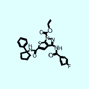 CCOC(=O)n1nc(NC(=O)c2ccc(F)cc2)c2cc(C(=O)NC3(c4ccccc4)CCCC3)sc21